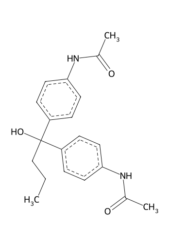 CCCC(O)(c1ccc(NC(C)=O)cc1)c1ccc(NC(C)=O)cc1